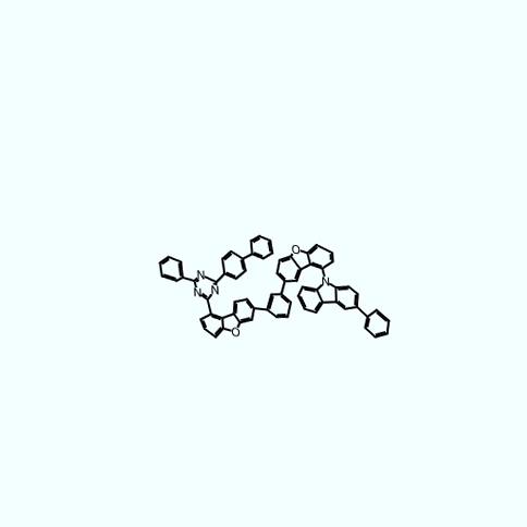 c1ccc(-c2ccc(-c3nc(-c4ccccc4)nc(-c4cccc5oc6cc(-c7cccc(-c8ccc9oc%10cccc(-n%11c%12ccccc%12c%12cc(-c%13ccccc%13)ccc%12%11)c%10c9c8)c7)ccc6c45)n3)cc2)cc1